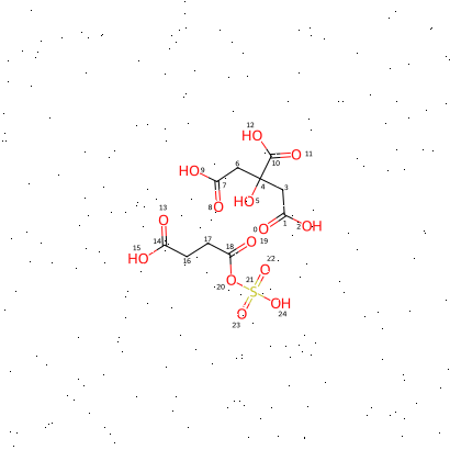 O=C(O)CC(O)(CC(=O)O)C(=O)O.O=C(O)CCC(=O)OS(=O)(=O)O